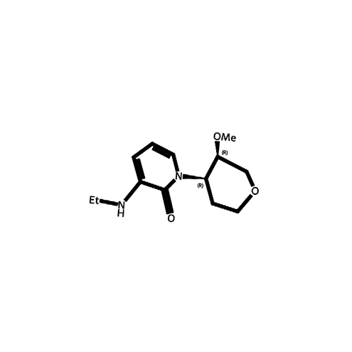 CCNc1cccn([C@@H]2CCOC[C@@H]2OC)c1=O